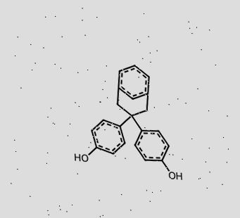 Oc1ccc(C2(c3ccc(O)cc3)Cc3cccc(c3)C2)cc1